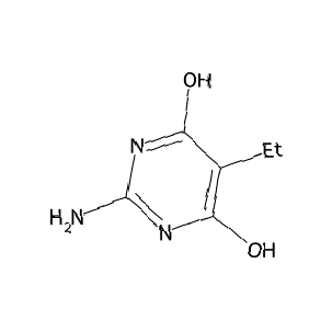 CCc1c(O)nc(N)nc1O